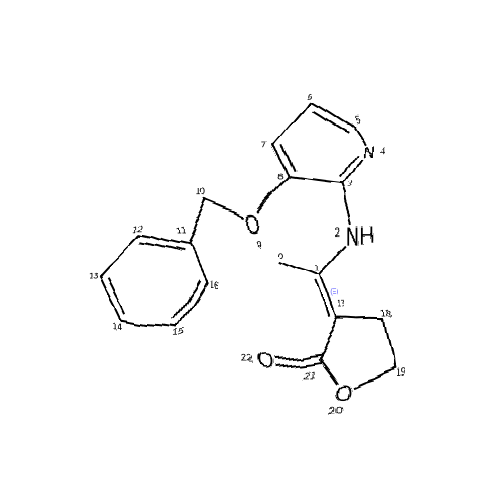 C/C(Nc1ncccc1OCc1ccccc1)=C1/CCOC1=O